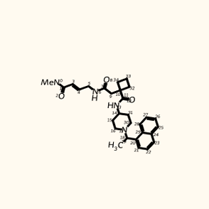 CNC(=O)C=CCNC(=O)CC1(C(=O)NC2CCN(C(C)c3cccc4ccccc34)CC2)CCC1